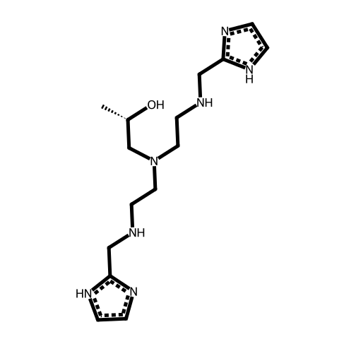 C[C@H](O)CN(CCNCc1ncc[nH]1)CCNCc1ncc[nH]1